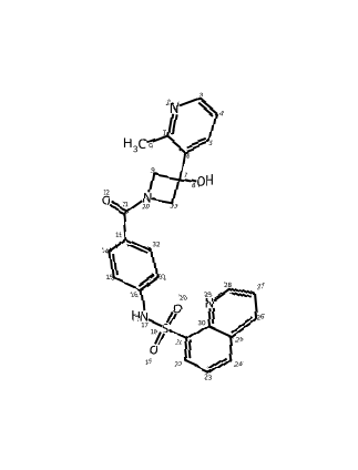 Cc1ncccc1C1(O)CN(C(=O)c2ccc(NS(=O)(=O)c3cccc4cccnc34)cc2)C1